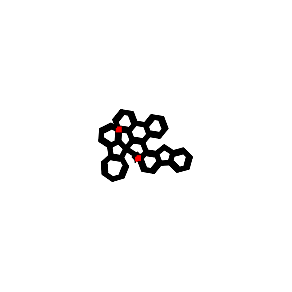 N#CC1(c2c(-c3cccc4c3Cc3ccccc3-4)c3ccccc3c3ccccc23)C2=C(C=CCC=C2)c2ccccc21